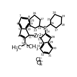 CP(C)C1=Cc2ccccc2[CH]1[Zr+2][CH]1C(P(C2CCCCC2)C2CCCCC2)=Cc2ccccc21.[Cl-].[Cl-]